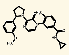 COc1cccc(C2CCCN2c2nccn(-c3cc(C(=O)NC4CC4)ccc3C)c2=O)c1